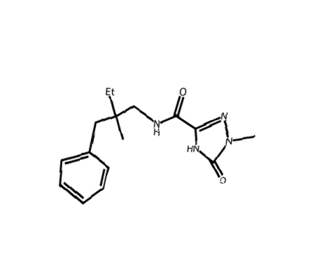 CCC(C)(CNC(=O)c1nn(C)c(=O)[nH]1)Cc1ccccc1